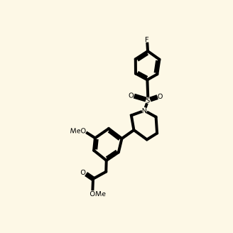 COC(=O)Cc1cc(OC)cc(C2CCCN(S(=O)(=O)c3ccc(F)cc3)C2)c1